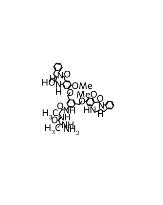 COc1cc2c(cc1OCc1cc(COc3cc4c(cc3OC)C(=O)N3c5ccccc5C[C@H]3C(O)N4)cc(NC(=O)[C@@H](C)NC(=O)[C@H](C)NN)c1)NC[C@@H]1Cc3ccccc3N1C2=O